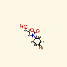 O=C1OC(CO)CN1c1ccc(Br)cc1